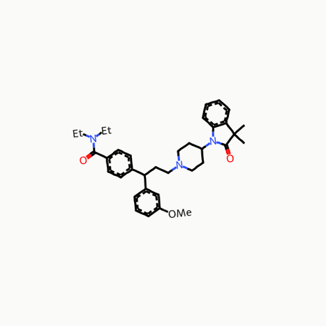 CCN(CC)C(=O)c1ccc(C(CCN2CCC(N3C(=O)C(C)(C)c4ccccc43)CC2)c2cccc(OC)c2)cc1